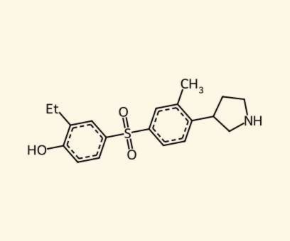 CCc1cc(S(=O)(=O)c2ccc(C3CCNC3)c(C)c2)ccc1O